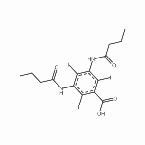 CCCC(=O)Nc1c(I)c(NC(=O)CCC)c(I)c(C(=O)O)c1I